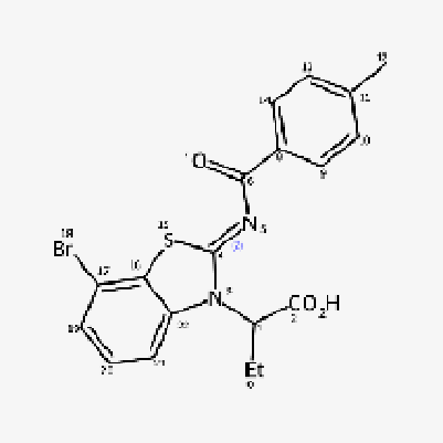 CCC(C(=O)O)n1/c(=N/C(=O)c2ccc(C)cc2)sc2c(Br)cccc21